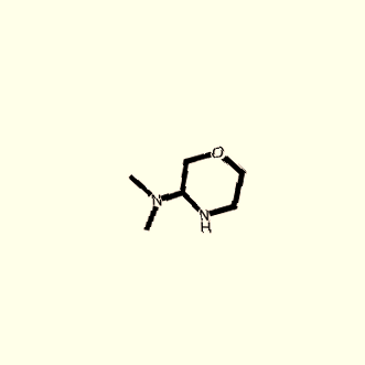 CN(C)C1COCCN1